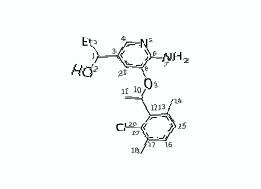 CCC(O)c1cnc(N)c(OC(C)c2c(C)ccc(C)c2Cl)c1